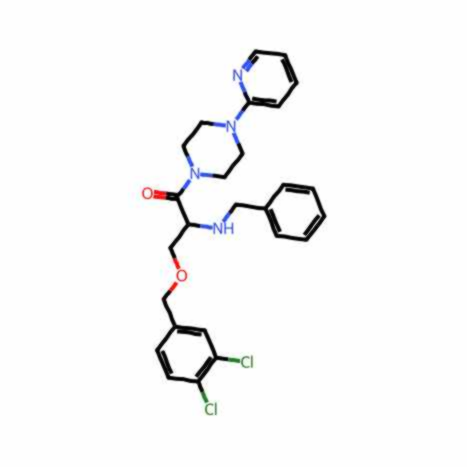 O=C(C(COCc1ccc(Cl)c(Cl)c1)NCc1ccccc1)N1CCN(c2ccccn2)CC1